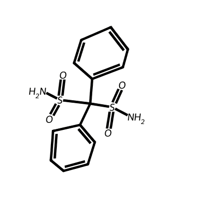 NS(=O)(=O)C(c1ccccc1)(c1ccccc1)S(N)(=O)=O